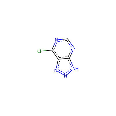 Clc1ncnc2[nH]nnc12